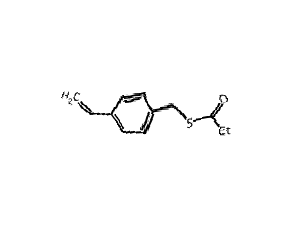 C=Cc1ccc(CSC(=O)CC)cc1